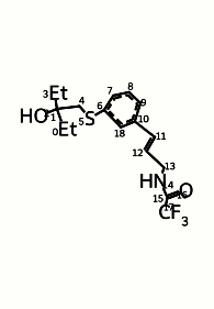 CCC(O)(CC)CSc1cccc(C=CCNC(=O)C(F)(F)F)c1